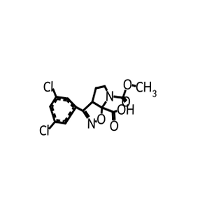 COC(=O)N1CCC2C(c3cc(Cl)cc(Cl)c3)=NOC21C(=O)O